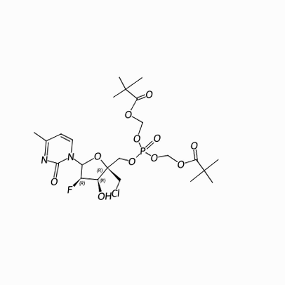 Cc1ccn(C2O[C@](CCl)(COP(=O)(OCOC(=O)C(C)(C)C)OCOC(=O)C(C)(C)C)[C@@H](O)[C@H]2F)c(=O)n1